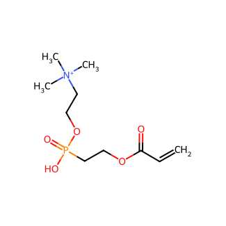 C=CC(=O)OCCP(=O)(O)OCC[N+](C)(C)C